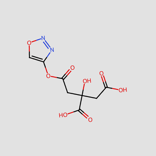 O=C(O)CC(O)(CC(=O)Oc1conn1)C(=O)O